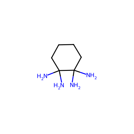 NC1(N)CCCCC1(N)N